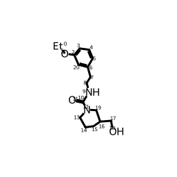 CCOc1cccc(CCNC(=O)N2CCCC(CO)C2)c1